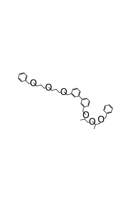 CC(COCc1ccccc1)OCC(C)OCc1cccc(-c2cccc(COCCCOCCCOCc3ccccc3)c2)c1